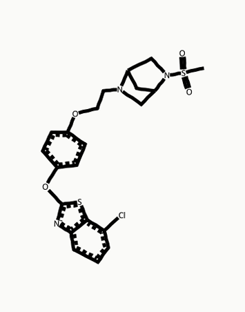 CS(=O)(=O)N1CC2CC1CN2CCOc1ccc(Oc2nc3cccc(Cl)c3s2)cc1